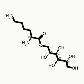 NCCCC[C@H](N)C(=O)OC[C@@H](O)[C@@H](O)[C@H](O)[C@H](O)CO